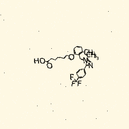 Cc1cccc(OCCCCCC(=O)O)c1Cn1c(C)cnc1-c1ccc(C(F)(F)F)cc1